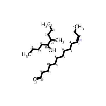 CC/C=C\CCCCCCCCCC=O.CCCCC(O)C(C)CCC